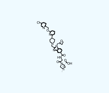 C[C@H]1C[C@@H](C(=O)O)N(C(=O)CNC(=O)c2ccc3c(c2)nc(CN2CCC(c4cccc(OCc5ccc(Cl)cn5)n4)CC2)n3C[C@@H]2CCO2)C1